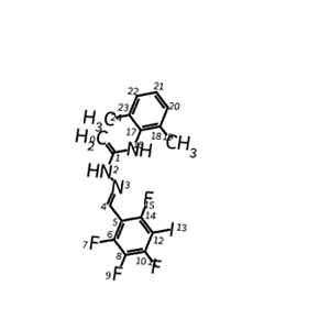 C=C(N/N=C/c1c(F)c(F)c(F)c(I)c1F)Nc1c(C)cccc1C